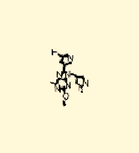 CCOc1nc(C)c2nc(-c3cncc(F)c3)n(CC3C=NN(C)C3)c2n1